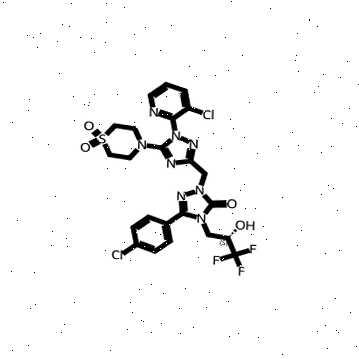 O=c1n(Cc2nc(N3CCS(=O)(=O)CC3)n(-c3ncccc3Cl)n2)nc(-c2ccc(Cl)cc2)n1C[C@H](O)C(F)(F)F